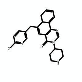 O=c1c2c(ncn1C1CCNCC1)C1=CC=CCC1C(Cc1ccc(Cl)nc1)=C2